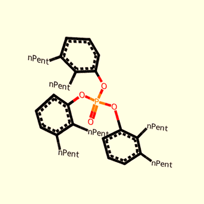 CCCCCc1cccc(OP(=O)(Oc2cccc(CCCCC)c2CCCCC)Oc2cccc(CCCCC)c2CCCCC)c1CCCCC